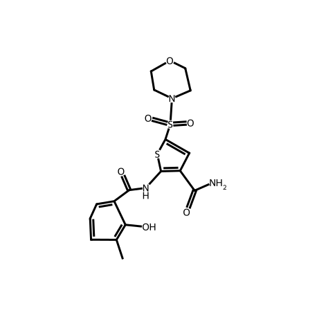 Cc1cccc(C(=O)Nc2sc(S(=O)(=O)N3CCOCC3)cc2C(N)=O)c1O